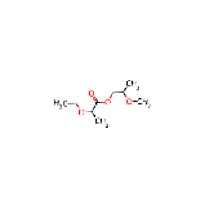 CCOC(C)C(=O)OCC(C)OC